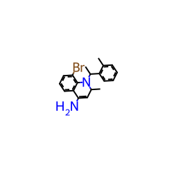 Cc1ccccc1C(C)N1c2c(Br)cccc2C(N)=CC1C